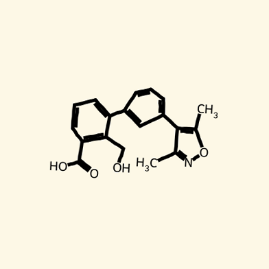 Cc1noc(C)c1-c1cccc(-c2cccc(C(=O)O)c2CO)c1